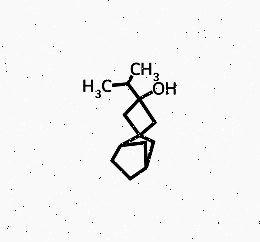 CC(C)C1(O)CC2(CC3CCC2C3)C1